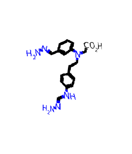 NN=CNc1ccc(CCN(CC(=O)O)c2cccc(C=NN)c2)cc1